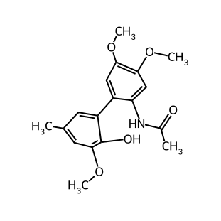 COc1cc(NC(C)=O)c(-c2cc(C)cc(OC)c2O)cc1OC